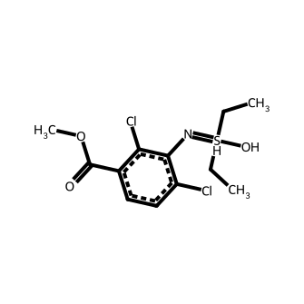 CC[SH](O)(CC)=Nc1c(Cl)ccc(C(=O)OC)c1Cl